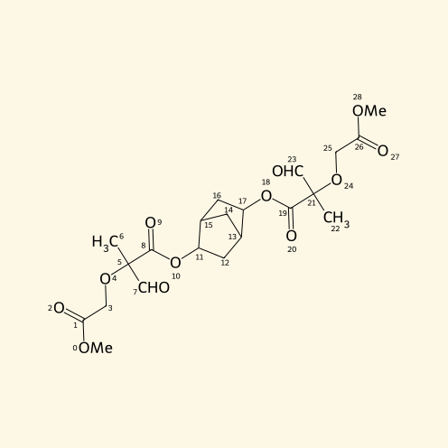 COC(=O)COC(C)(C=O)C(=O)OC1CC2CC1CC2OC(=O)C(C)(C=O)OCC(=O)OC